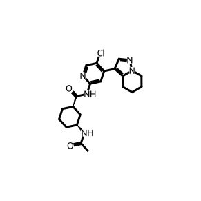 CC(=O)N[C@H]1CCC[C@@H](C(=O)Nc2cc(-c3cnn4c3CCCC4)c(Cl)cn2)C1